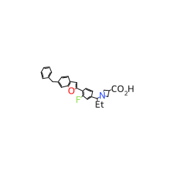 CCC(c1ccc(-c2cc3ccc(Cc4ccccc4)cc3o2)c(F)c1)N1CC(C(=O)O)C1